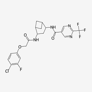 O=C(COc1ccc(Cl)c(F)c1)NC1CC(NC(=O)c2cnc(C(F)(F)F)nc2)C2CC1C2